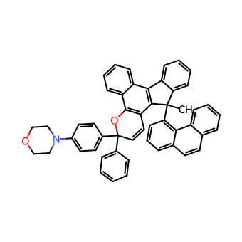 CC1(c2cccc3ccc4ccccc4c23)c2ccccc2-c2c1c1c(c3ccccc23)OC(c2ccccc2)(c2ccc(N3CCOCC3)cc2)C=C1